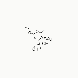 CCOC(C[C@H](N=[N+]=[N-])[C@](C)(O)CO)OCC